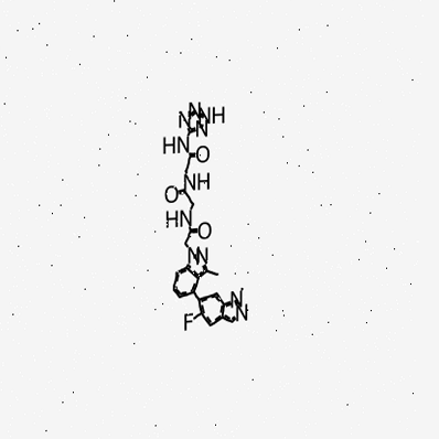 Cc1nn(CC(=O)NCC(=O)NCC(=O)Nc2nn[nH]n2)c2cccc(-c3cc4c(cnn4C)cc3F)c12